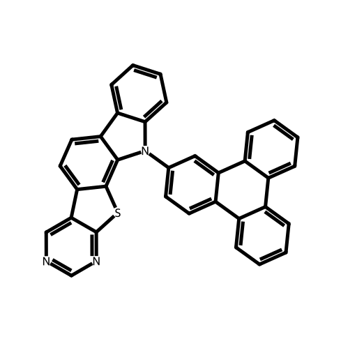 c1ccc2c(c1)c1ccccc1c1cc(-n3c4ccccc4c4ccc5c6cncnc6sc5c43)ccc21